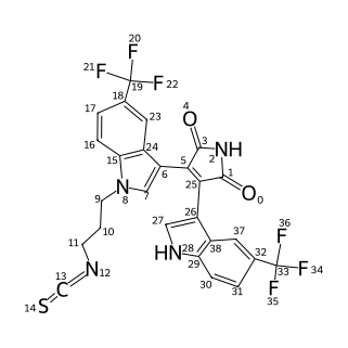 O=C1NC(=O)C(c2cn(CCCN=C=S)c3ccc(C(F)(F)F)cc23)=C1c1c[nH]c2ccc(C(F)(F)F)cc12